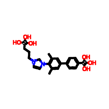 Cc1cc(-c2ccc([Si](O)(O)O)cc2)cc(C)c1N1C=CN(CCC[Si](O)(O)O)C1